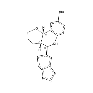 CC(C)(C)c1ccc2c(c1)[C@H]1OCCC[C@H]1[C@H](c1ccc3nsnc3c1)N2